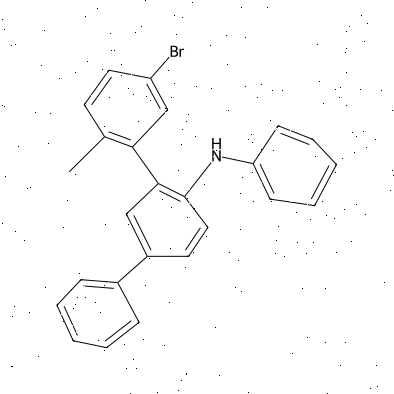 Cc1ccc(Br)cc1-c1cc(-c2ccccc2)ccc1Nc1ccccc1